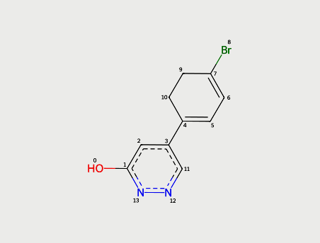 Oc1cc(C2=CC=C(Br)CC2)cnn1